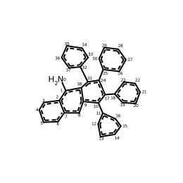 Nc1c2ccccc2cc2c(-c3ccccc3)c(-c3ccccc3)c(-c3ccccc3)c(-c3ccccc3)c12